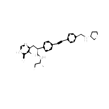 C[C@@H](CF)NC[C@@H](Cc1nc[nH]c(=O)c1O)c1ccc(C#Cc2ccc(CN[C@@H]3CCOC3)cc2)cc1